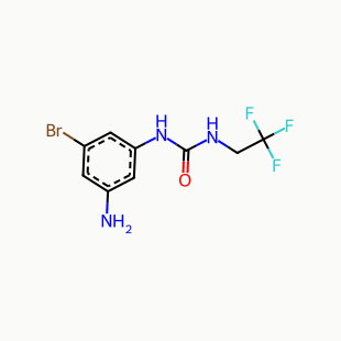 Nc1cc(Br)cc(NC(=O)NCC(F)(F)F)c1